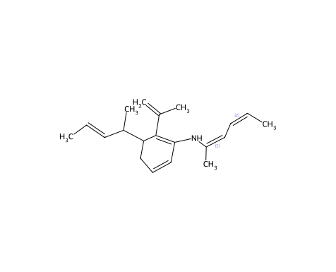 C=C(C)C1=C(N/C(C)=C\C=C/C)C=CCC1C(C)C=CC